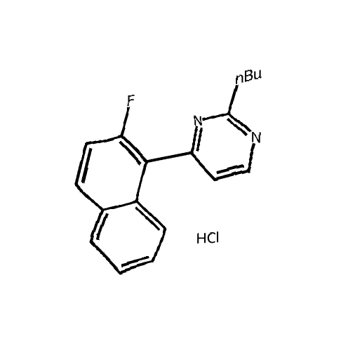 CCCCc1nccc(-c2c(F)ccc3ccccc23)n1.Cl